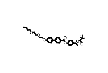 CCCCOCCOCCOc1ccc(-c2ccc(C(=O)Oc3ccc(C(C)OC(=O)C(C)Cl)cc3)cc2)cc1